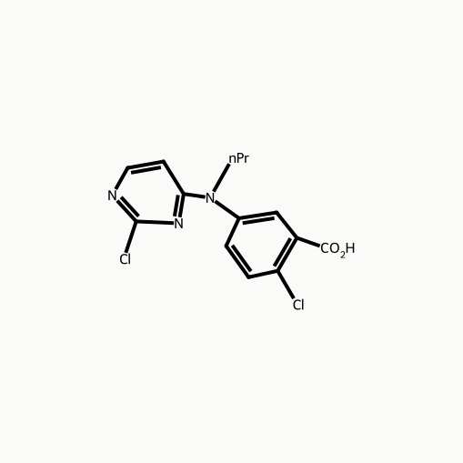 CCCN(c1ccc(Cl)c(C(=O)O)c1)c1ccnc(Cl)n1